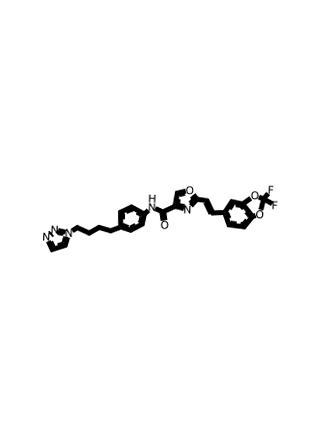 O=C(Nc1ccc(CCCCn2ccnn2)cc1)c1coc(C=Cc2ccc3c(c2)OC(F)(F)O3)n1